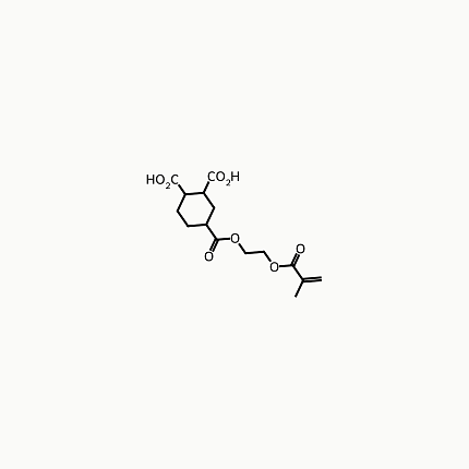 C=C(C)C(=O)OCCOC(=O)C1CCC(C(=O)O)C(C(=O)O)C1